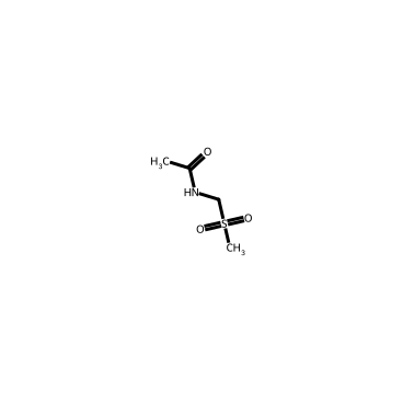 CC(=O)NCS(C)(=O)=O